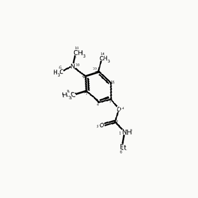 CCNC(=O)Oc1cc(C)c(N(C)C)c(C)c1